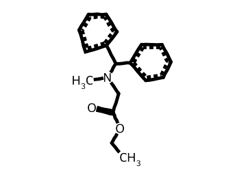 CCOC(=O)CN(C)C(c1ccccc1)c1ccccc1